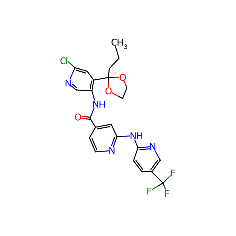 CCCC1(c2cc(Cl)ncc2NC(=O)c2ccnc(Nc3ccc(C(F)(F)F)cn3)c2)OCCO1